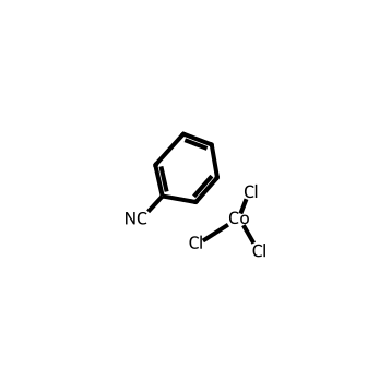 N#Cc1ccccc1.[Cl][Co]([Cl])[Cl]